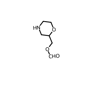 O=COCC1CNCCO1